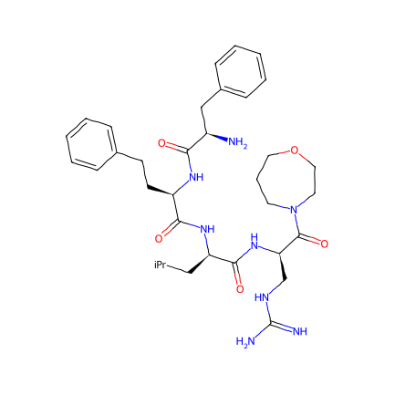 CC(C)C[C@@H](NC(=O)[C@@H](CCc1ccccc1)NC(=O)[C@H](N)Cc1ccccc1)C(=O)N[C@H](CNC(=N)N)C(=O)N1CCCOCC1